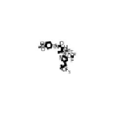 CCc1nc(C(=O)NC[C@H]2CC[C@H](S(C)(=O)=O)CC2)c(C)n1-c1ncc(CC(C)(C)C(F)(F)F)cc1OC(F)F